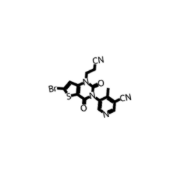 Cc1c(C#N)cncc1-n1c(=O)c2sc(Br)cc2n(CCC#N)c1=O